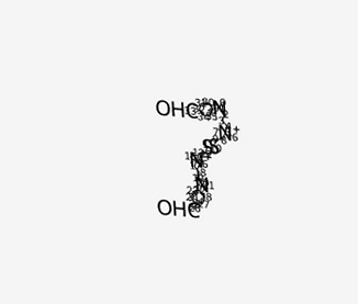 CN(CCC[N+](C)(C)CCSSCC[N+](C)(C)CCCN(C)c1ccc(C=O)cc1)c1ccc(C=O)cc1